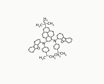 CC(C)c1ccc(N(c2cc(N(c3ccc(C(C)C)cc3)c3cccc4c3oc3ccccc34)c3ccc4cc(C(C)(C)C)cc5ccc2c3c54)c2cccc3c2oc2ccccc23)cc1